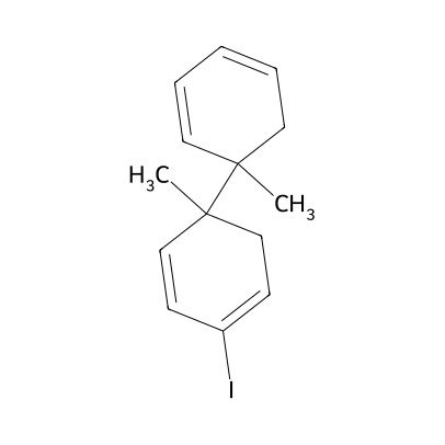 CC1(C2(C)C=CC(I)=CC2)C=CC=CC1